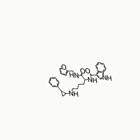 O=C(NC(CCCCNC1CC1c1ccccc1)C(=O)NCc1ccco1)c1c[nH]c2ccccc12